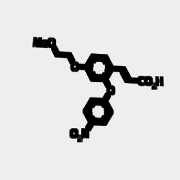 COCCOc1ccc(C=CC(=O)O)c(Oc2ccc([N+](=O)[O-])cc2)c1